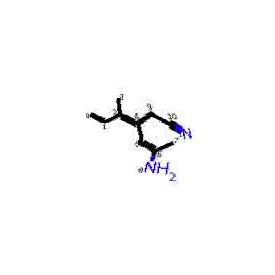 C=C/C(C)=C(\C=C(/C)N)CC#N